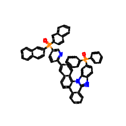 O=P(c1ccc(-c2ccc3c(ccc4c5ccccc5c5nc6ccc(P(=O)(c7ccccc7)c7ccccc7)cc6n5c34)c2)nc1)(c1ccc2ccccc2c1)c1ccc2ccccc2c1